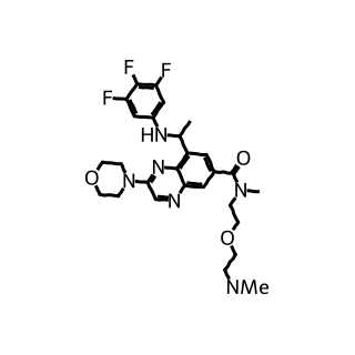 CNCCOCCN(C)C(=O)c1cc(C(C)Nc2cc(F)c(F)c(F)c2)c2nc(N3CCOCC3)cnc2c1